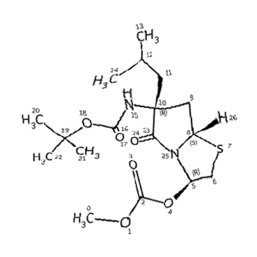 COC(=O)O[C@@H]1CS[C@H]2C[C@@](CC(C)C)(NC(=O)OC(C)(C)C)C(=O)N21